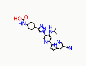 CC(C)Nc1cc(-c2ccc3cc(C#N)cnn23)ncc1-n1cc(C2CCC(NC(=O)O)CC2)nn1